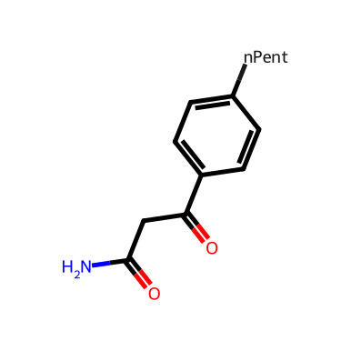 CCCCCc1ccc(C(=O)CC(N)=O)cc1